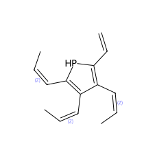 C=Cc1[pH]c(/C=C\C)c(/C=C\C)c1/C=C\C